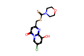 O=c1cc(CSC(=S)N2CCOCC2)nc2c(O)cc(Cl)cn12